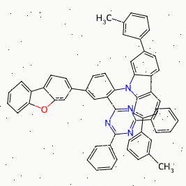 Cc1cccc(-c2ccc3c4ccc(-c5cccc(C)c5)cc4n(-c4ccc(-c5ccc6c(c5)oc5ccccc56)cc4-c4nc(-c5ccccc5)nc(-c5ccccc5)n4)c3c2)c1